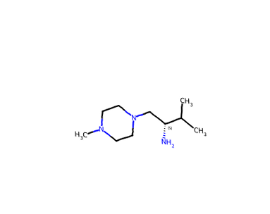 CC(C)[C@H](N)CN1CCN(C)CC1